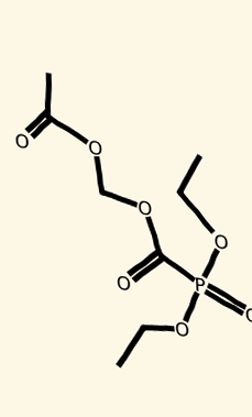 CCOP(=O)(OCC)C(=O)OCOC(C)=O